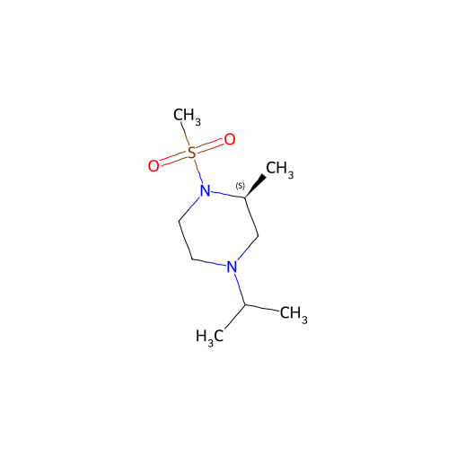 CC(C)N1CCN(S(C)(=O)=O)[C@@H](C)C1